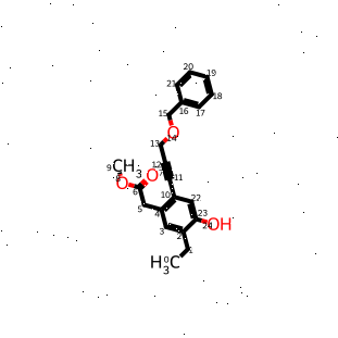 CCc1cc(CC(=O)OC)c(C#CCOCc2ccccc2)cc1O